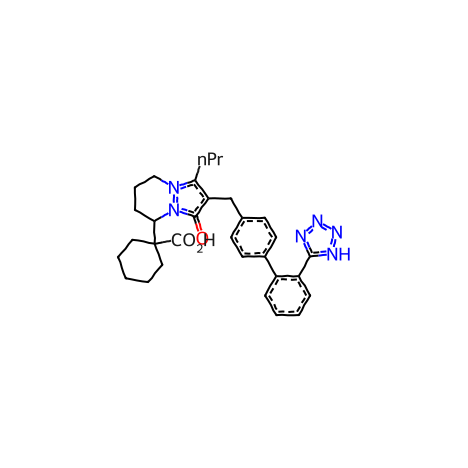 CCCc1c(Cc2ccc(-c3ccccc3-c3nnn[nH]3)cc2)c(=O)n2n1CCCC2C1(C(=O)O)CCCCC1